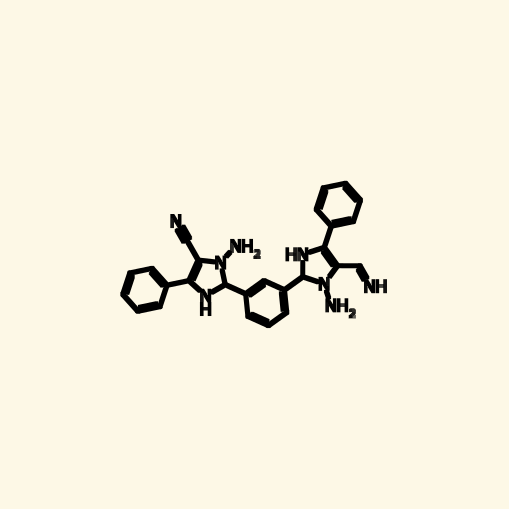 N#CC1=C(c2ccccc2)NC(c2cccc(C3NC(c4ccccc4)=C(C=N)N3N)c2)N1N